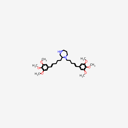 COc1cc(C=CCCCC2CNCCCN2CCCC=Cc2cc(OC)c(OC)c(OC)c2)cc(OC)c1OC